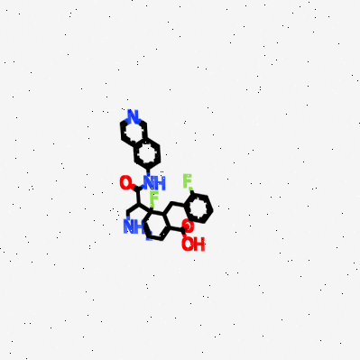 NCC(C(=O)Nc1ccc2cnccc2c1)C1(F)C=CC=C(C(=O)O)C1Cc1ccccc1F